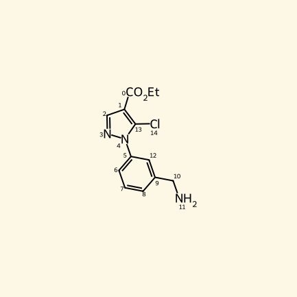 CCOC(=O)c1cnn(-c2cccc(CN)c2)c1Cl